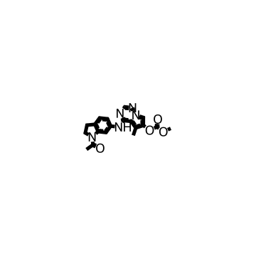 COC(=O)Oc1cn2ncnc(Nc3ccc4c(c3)N(C(C)=O)CC4)c2c1C